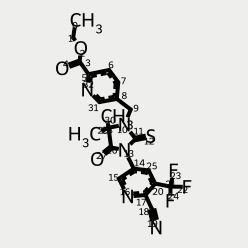 CCOC(=O)c1ccc(CN2C(=S)N(c3cnc(C#N)c(C(F)(F)F)c3)C(=O)C2(C)C)cn1